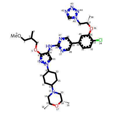 COCC(C)COc1nn(C2CCC(N3C[C@@H](C)O[C@@H](C)C3)CC2)cc1Nc1ncc(-c2ccc(Cl)c(O[C@@H](C)Cn3cnnn3)c2)cn1